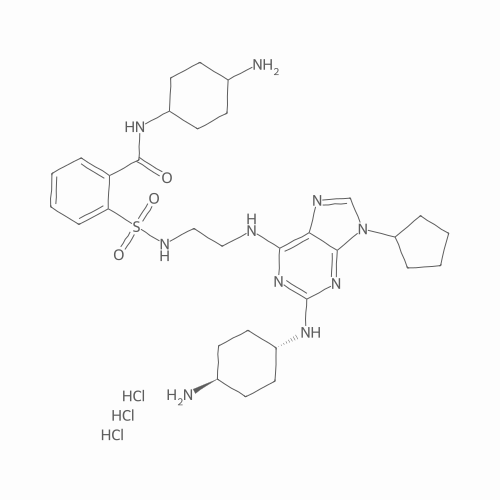 Cl.Cl.Cl.NC1CCC(NC(=O)c2ccccc2S(=O)(=O)NCCNc2nc(N[C@H]3CC[C@H](N)CC3)nc3c2ncn3C2CCCC2)CC1